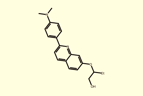 CCC(CO)Oc1ccc2ccc(-c3ccc(N(C)C)cc3)nc2c1